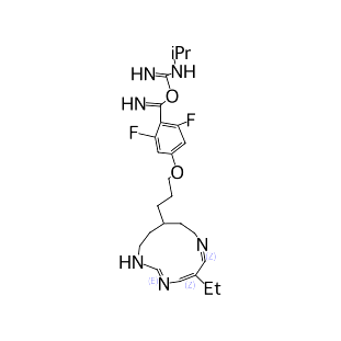 CCC1=C/N=C/NCCC(CCCOc2cc(F)c(C(=N)OC(=N)NC(C)C)c(F)c2)CC/N=C\1